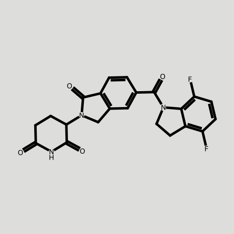 O=C1CCC(N2Cc3cc(C(=O)N4CCc5c(F)ccc(F)c54)ccc3C2=O)C(=O)N1